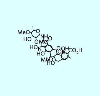 CO[C@@H]1[C@@H](O)[C@@H](OC)[C@@H](NC2=C/C(=N\O)c3c(cc4c(c3O)C(=O)C3(OC)C(O)Cc5cc(C)c(C(=O)O)c(O)c5C3(O)C4=O)C2=O)O[C@H]1C